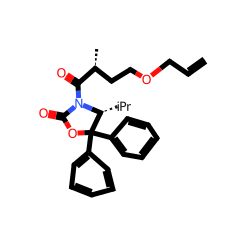 C=CCOCC[C@@H](C)C(=O)N1C(=O)OC(c2ccccc2)(c2ccccc2)[C@H]1C(C)C